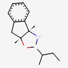 CCC(C)B1N[C@H]2c3ccccc3C[C@H]2O1